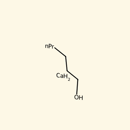 CCCCCCO.[CaH2]